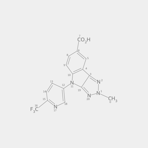 Cn1nc2c3cc(C(=O)O)ccc3n(-c3ccc(C(F)(F)F)nc3)c2n1